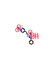 O=C(O)N(CCc1ccc([N+](=O)[O-])cc1)CC(O)c1ccccc1